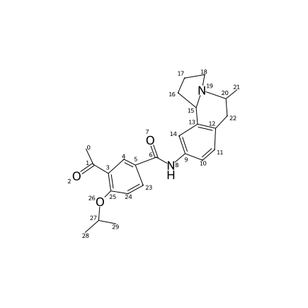 CC(=O)c1cc(C(=O)Nc2ccc3c(c2)C2CCCN2C(C)C3)ccc1OC(C)C